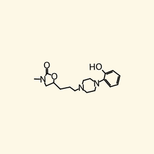 CN1CC(CCCN2CCN(c3ccccc3O)CC2)OC1=O